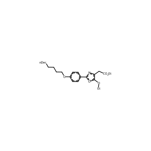 CCCCCCCCCCCCCCOc1ccc(-c2nc(CC(=O)OCC)c(OCC)o2)cc1